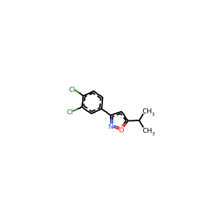 CC(C)c1cc(-c2ccc(Cl)c(Cl)c2)no1